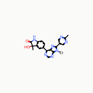 CCn1c(-c2cnc(C)nc2)nc2c(-c3ccc4c(c3)C(C)(O)C(=O)N4)ncnc21